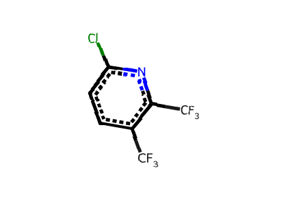 FC(F)(F)c1ccc(Cl)nc1C(F)(F)F